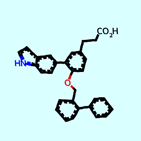 O=C(O)CCc1ccc(OCc2ccccc2-c2ccccc2)c(-c2ccc3[nH]ccc3c2)c1